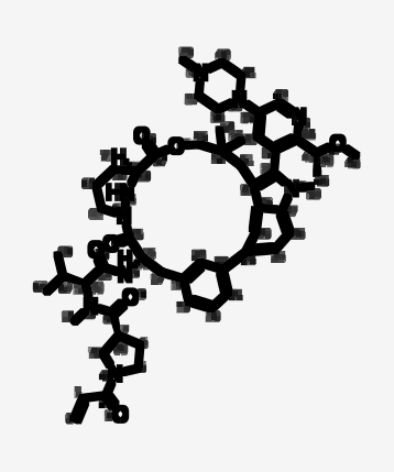 C=CC(=O)N1CC[C@H](C(=O)N(C)[C@H](C(=O)N[C@H]2Cc3cccc(c3)-c3ccc4c(c3)c(c(-c3cc(N5CCN(C)CC5)cnc3[C@H](C)OC)n4C)CC(C)(C)COC(=O)[C@@H]3CCCN(N3)C2=O)C(C)C)C1